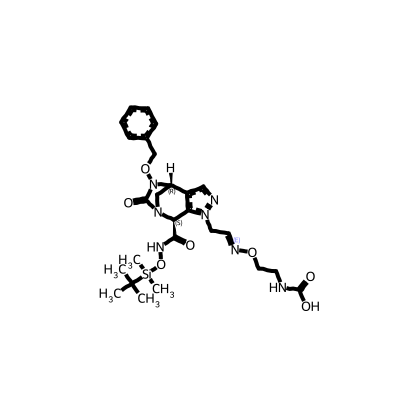 CC(C)(C)[Si](C)(C)ONC(=O)[C@@H]1c2c(cnn2C/C=N/OCCNC(=O)O)[C@@H]2CN1C(=O)N2OCc1ccccc1